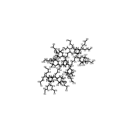 CCCCN(CCCC)c1nc(N(CCCC)CCCC)nc(N(CCCCN(c2nc(N(CCCC)C3CC(C)(C)N(OCCC)C(C)(C)C3)nc(N(CCCCN(c3nc(N(CCCC)CCCC)nc(N(CCCC)CCCC)n3)C3CC(C)(C)N(OCCC)C(C)(C)C3)C3CC(C)(C)N(OCCC)C(C)(C)C3)n2)C2CC(C)(C)N(OCCC)C(C)(C)C2)C2CC(C)(C)N(OCCC)C(C)(C)C2)n1